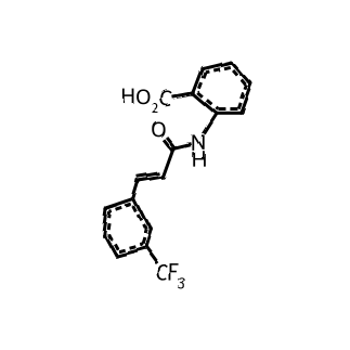 O=C(C=Cc1cccc(C(F)(F)F)c1)Nc1ccccc1C(=O)O